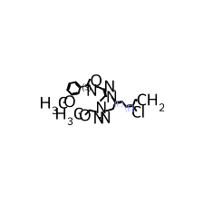 C=C/C(Cl)=C\C=C1/Cc2nnc(COC)n2Cc2c(C3=N[C@@H](c4cccc(OC)c4)CO3)ncn21